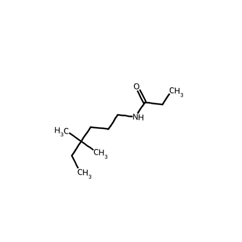 CCC(=O)NCCCC(C)(C)CC